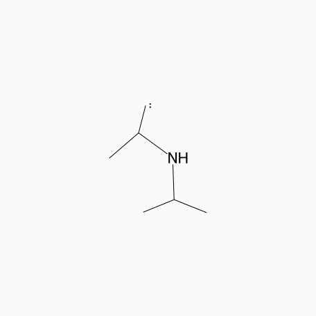 [CH]C(C)NC(C)C